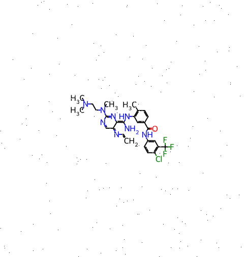 C=C/N=C1/C=NC(N(C)CCN(C)C)=N/C1=C(/N)Nc1cc(C(=O)Nc2ccc(Cl)c(C(F)(F)F)c2)ccc1C